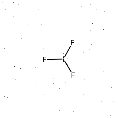 FI(F)F